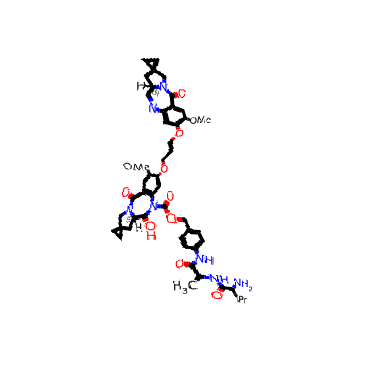 COc1cc2c(cc1OCCCOc1cc3c(cc1OC)C(=O)N1CC4(CC4)C[C@H]1C(O)N3C(=O)OCc1ccc(NC(=O)C(C)NC(=O)C(N)C(C)C)cc1)N=C[C@@H]1CC3(CC3)CN1C2=O